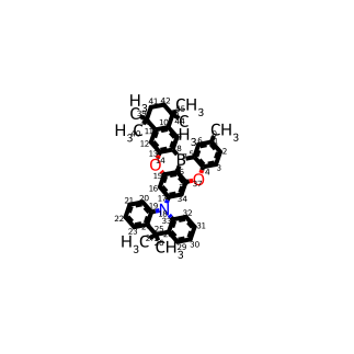 Cc1ccc2c(c1)B1c3cc4c(cc3Oc3cc(N5c6ccccc6C(C)(C)c6ccccc65)cc(c31)O2)C(C)(C)CCC4(C)C